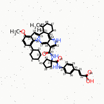 COc1ccc(C2CCCCC2)c2c1cc1n2C=c2c(C(=O)NC3(C(=O)Nc4ccc(/C=C/C(=O)O)cc4)CCCC3)c[nH]c2=C2CCCC(C)[C@@H]21